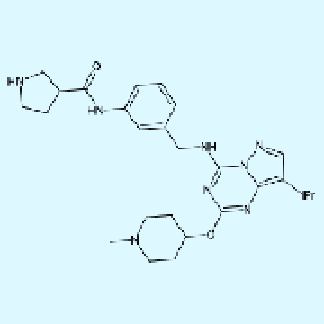 CC(C)c1cnn2c(NCc3cccc(NC(=O)C4CCNC4)c3)nc(OC3CCN(C)CC3)nc12